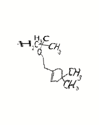 [CH2]C(C)(C)OCCC1=CCC(C)(C)C1